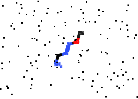 N#CON=NCN